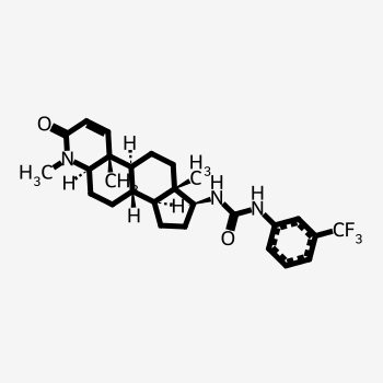 CN1C(=O)C=C[C@]2(C)[C@H]3CC[C@]4(C)[C@@H](NC(=O)Nc5cccc(C(F)(F)F)c5)CC[C@H]4[C@@H]3CC[C@@H]12